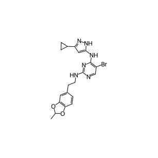 CC1Oc2ccc(CCNc3ncc(Br)c(Nc4cc(C5CC5)n[nH]4)n3)cc2O1